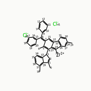 CC1=CC(c2c(C)c(=C(c3ccccc3)c3ccccc3)cc3c2=[C]([Zr+2])c2cc(C)ccc2-3)c2cccc(C)c21.[Cl-].[Cl-]